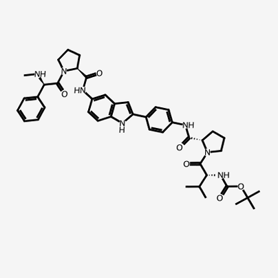 CN[C@@H](C(=O)N1CCC[C@H]1C(=O)Nc1ccc2[nH]c(-c3ccc(NC(=O)[C@@H]4CCCN4C(=O)[C@H](NC(=O)OC(C)(C)C)C(C)C)cc3)cc2c1)c1ccccc1